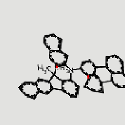 CC1(C)c2cc3ccccc3cc2-c2cccc(N(c3ccc(-c4cccc5cccc(-c6ccccc6)c45)cc3)c3ccc4ccccc4c3)c21